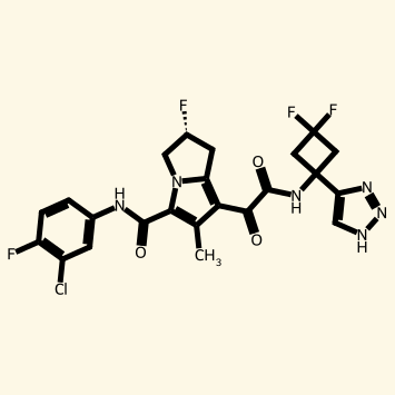 Cc1c(C(=O)C(=O)NC2(c3c[nH]nn3)CC(F)(F)C2)c2n(c1C(=O)Nc1ccc(F)c(Cl)c1)C[C@H](F)C2